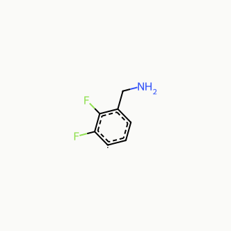 NCc1cc[c]c(F)c1F